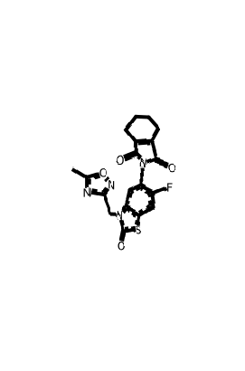 Cc1nc(Cn2c(=O)sc3cc(F)c(N4C(=O)C5=C(CCCC5)C4=O)cc32)no1